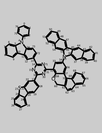 c1ccc(-n2c3ccccc3c3cc(-c4nc(-c5ccc6c(c5)sc5ccccc56)nc(-c5cc(-n6c7cc8ccccc8cc7c7cc8ccccc8cc76)cc6c5OCc5ccc7ccccc7c5-6)n4)ccc32)cc1